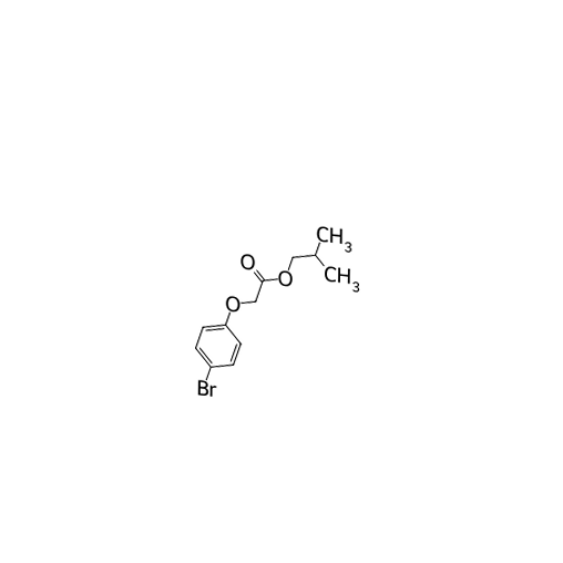 CC(C)COC(=O)COc1ccc(Br)cc1